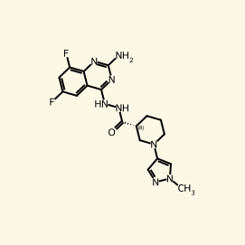 Cn1cc(N2CCC[C@@H](C(=O)NNc3nc(N)nc4c(F)cc(F)cc34)C2)cn1